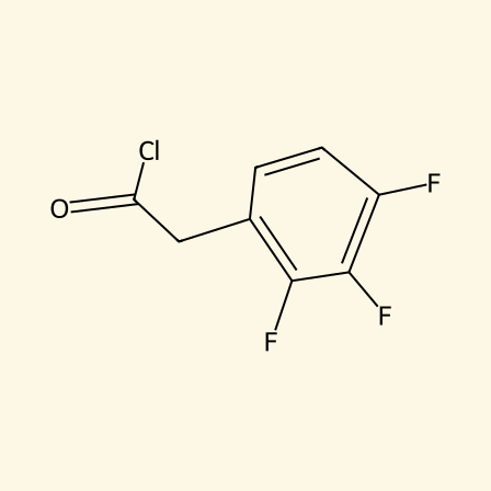 O=C(Cl)Cc1ccc(F)c(F)c1F